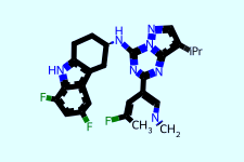 C=N/C=C(\C=C(/C)F)c1nc(N[C@H]2CCc3[nH]c4c(F)cc(F)cc4c3C2)n2ncc(C(C)C)c2n1